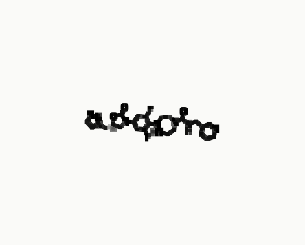 O=C(NCc1cccnc1)N1CCNN(c2c(F)cc(N3C[C@H](Cn4ccnn4)OC3=O)cc2F)CC1